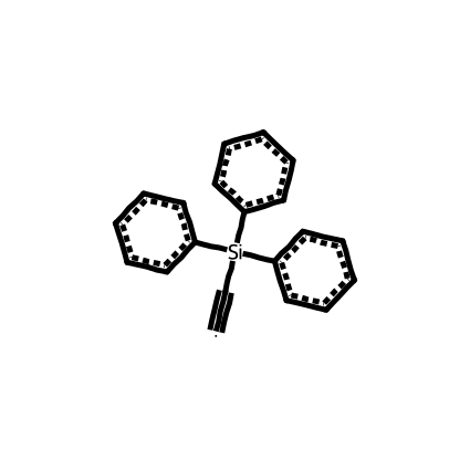 [C]#C[Si](c1ccccc1)(c1ccccc1)c1ccccc1